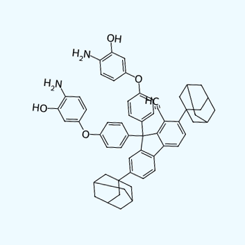 C#Cc1c(C23CC4CC(CC(C4)C2)C3)ccc2c1C(c1ccc(Oc3ccc(N)c(O)c3)cc1)(c1ccc(Oc3ccc(N)c(O)c3)cc1)c1cc(C34CC5CC(CC(C5)C3)C4)ccc1-2